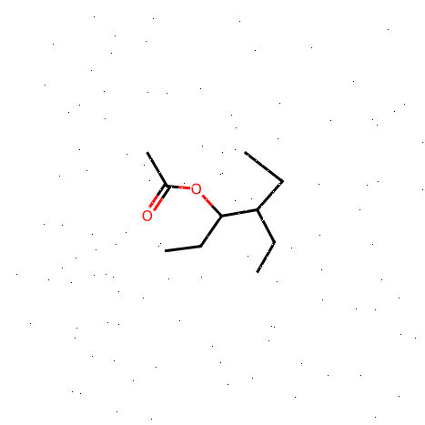 CCC(CC)C(CC)OC(C)=O